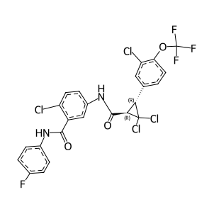 O=C(Nc1ccc(F)cc1)c1cc(NC(=O)[C@H]2[C@H](c3ccc(OC(F)(F)F)c(Cl)c3)C2(Cl)Cl)ccc1Cl